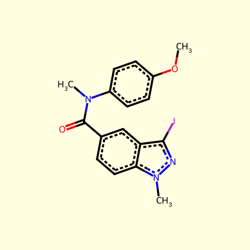 COc1ccc(N(C)C(=O)c2ccc3c(c2)c(I)nn3C)cc1